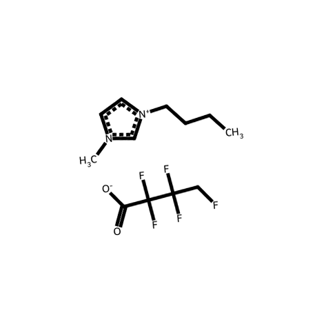 CCCC[n+]1ccn(C)c1.O=C([O-])C(F)(F)C(F)(F)CF